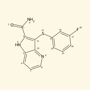 NC(=O)c1[nH]c2cccnc2c1Sc1cccc(F)c1